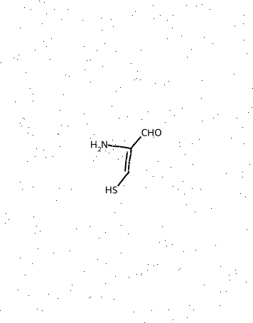 N/C(C=O)=C\S